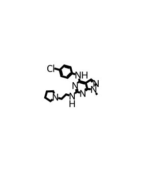 Cn1ncc2c(Nc3ccc(Cl)cc3)nc(NCCN3CCCC3)nc21